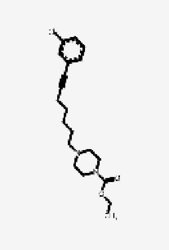 CCOC(=O)N1CCN(CCCCCC#Cc2cccc(Cl)c2)CC1